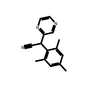 Cc1cc(C)c(C(C#N)c2cnccn2)c(C)c1